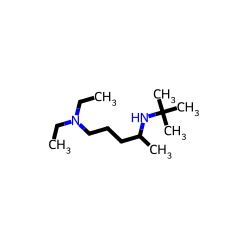 CCN(CC)CCCC(C)NC(C)(C)C